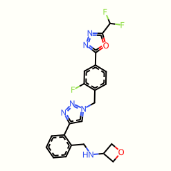 Fc1cc(-c2nnc(C(F)F)o2)ccc1Cn1cc(-c2ccccc2CNC2COC2)nn1